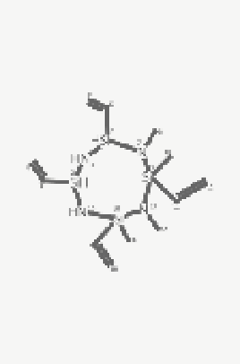 C=C[SiH]1N[SiH](C=C)N(C)[Si](C)(C=C)N(C)[Si](C)(C=C)N1